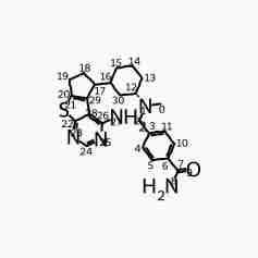 CN(Cc1ccc(C(N)=O)cc1)[C@H]1CCCC(C2CCc3sc4ncnc(N)c4c32)C1